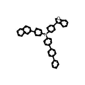 c1ccc(-c2ccc(-c3ccc(N(c4ccc(-c5ccc6ccccc6c5)cc4)c4ccc(-c5coc6ccccc56)cc4)cc3)cc2)cc1